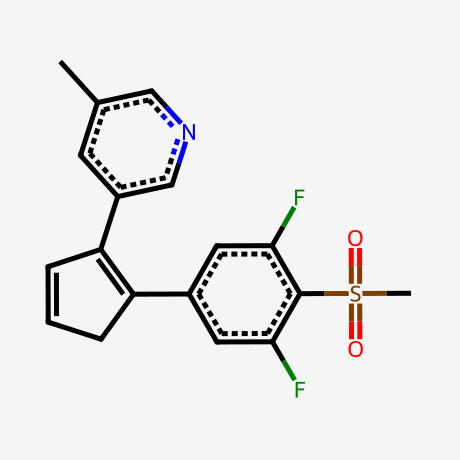 Cc1cncc(C2=C(c3cc(F)c(S(C)(=O)=O)c(F)c3)CC=C2)c1